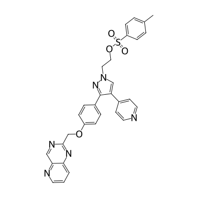 Cc1ccc(S(=O)(=O)OCCn2cc(-c3ccncc3)c(-c3ccc(OCc4ncc5ncccc5n4)cc3)n2)cc1